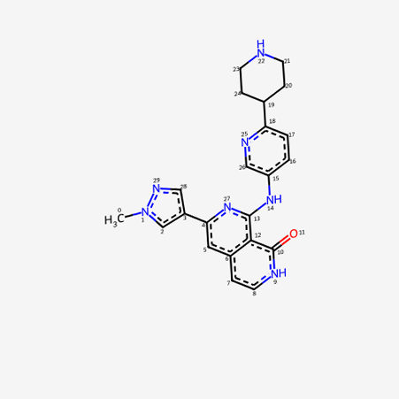 Cn1cc(-c2cc3cc[nH]c(=O)c3c(Nc3ccc(C4CCNCC4)nc3)n2)cn1